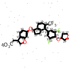 O=C(O)CC1COc2cc(O[C@@H]3CCc4c3ccc(C(F)(F)F)c4-c3cc(F)c(OC4CCOC4)c(F)c3)ccc21